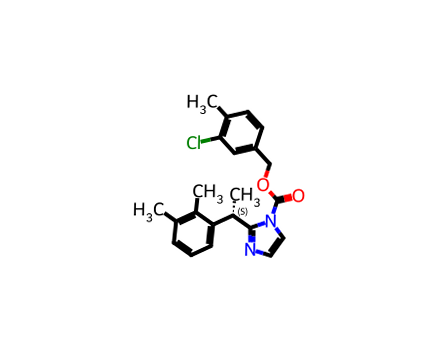 Cc1ccc(COC(=O)n2ccnc2[C@@H](C)c2cccc(C)c2C)cc1Cl